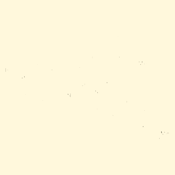 COC(=O)/C(C)=C/c1cc2cc(Br)ccc2nc1NCc1ccc(OC)cc1